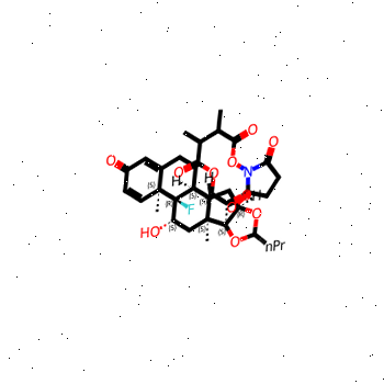 CCCC1O[C@@H]2C[C@H]3[C@@H]4CCC5=CC(=O)C=C[C@]5(C)[C@@]4(F)[C@@H](O)C[C@]3(C)[C@]2(C(=O)COC(=O)C(C)C(C)C(=O)ON2C(=O)CCC2=O)O1